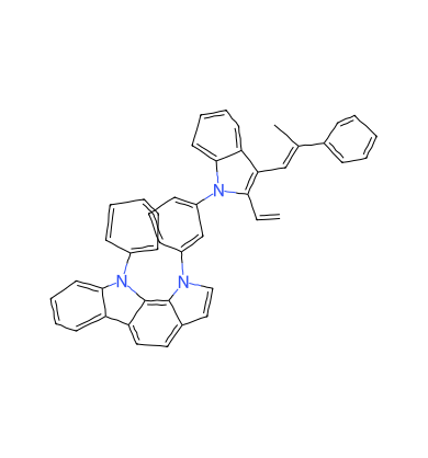 C=Cc1c(/C=C(\C)c2ccccc2)c2ccccc2n1-c1cccc(-n2ccc3ccc4c5ccccc5n(-c5ccccc5)c4c32)c1